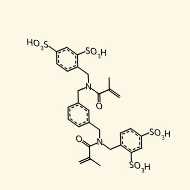 C=C(C)C(=O)N(Cc1cccc(CN(Cc2ccc(S(=O)(=O)O)cc2S(=O)(=O)O)C(=O)C(=C)C)c1)Cc1ccc(S(=O)(=O)O)cc1S(=O)(=O)O